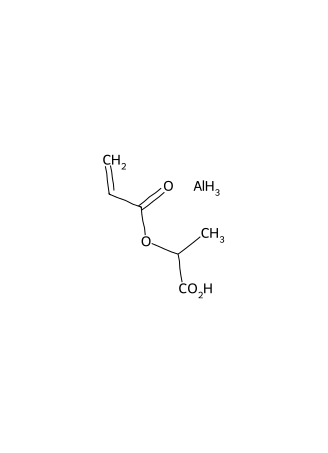 C=CC(=O)OC(C)C(=O)O.[AlH3]